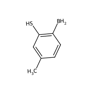 Bc1ccc(C)cc1S